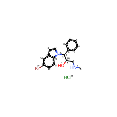 CNC[C@@H](O)[C@H](c1ccccc1)n1ccc2cc(Br)ccc21.Cl